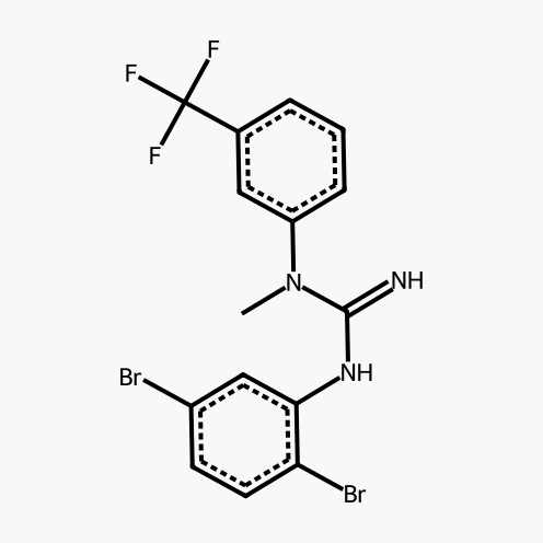 CN(C(=N)Nc1cc(Br)ccc1Br)c1cccc(C(F)(F)F)c1